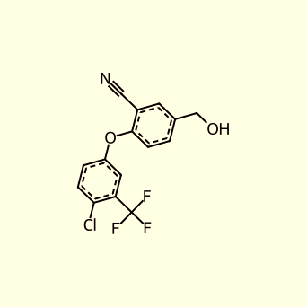 N#Cc1cc(CO)ccc1Oc1ccc(Cl)c(C(F)(F)F)c1